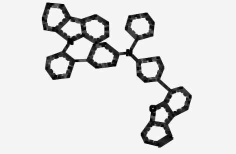 c1ccc2oc3c(-c4ccc(N(c5ccccc5)c5ccc(-c6ccccc6-n6c7ccccc7c7ccccc76)cc5)cc4)cccc3c2c#1